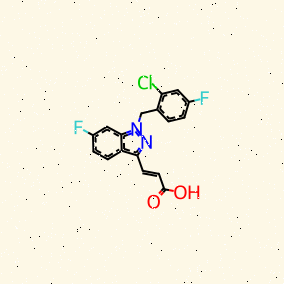 O=C(O)/C=C/c1nn(Cc2ccc(F)cc2Cl)c2cc(F)ccc12